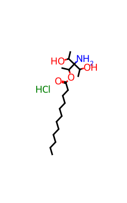 CCCCCCCCCCCC(=O)OC(C)C(N)(C(C)O)C(C)O.Cl